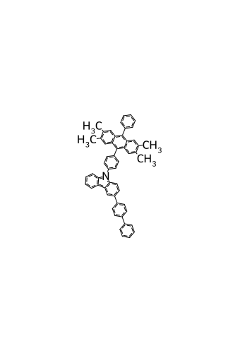 Cc1cc2c(-c3ccccc3)c3cc(C)c(C)cc3c(-c3ccc(-n4c5ccccc5c5cc(-c6ccc(-c7ccccc7)cc6)ccc54)cc3)c2cc1C